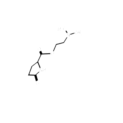 CN(C)CCOC(=O)C1CCC(=O)N1